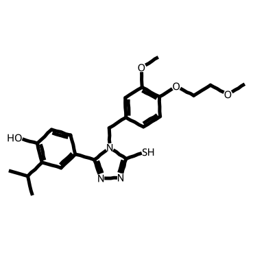 COCCOc1ccc(Cn2c(S)nnc2-c2ccc(O)c(C(C)C)c2)cc1OC